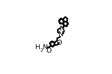 NC(=O)c1ccc2c(c1)COC2CCN1CCCN(c2ccc3c4c(cccc24)CC3)CC1